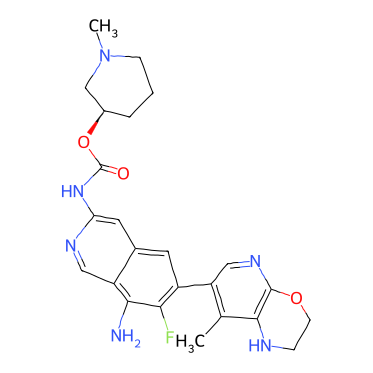 Cc1c(-c2cc3cc(NC(=O)O[C@@H]4CCCN(C)C4)ncc3c(N)c2F)cnc2c1NCCO2